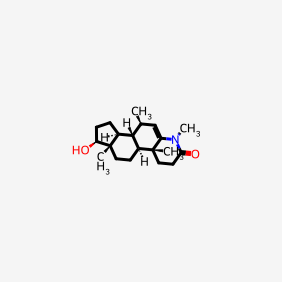 C[C@H]1C=C2N(C)C(=O)CC[C@]2(C)[C@H]2CC[C@]3(C)[C@@H](O)CC[C@H]3[C@H]12